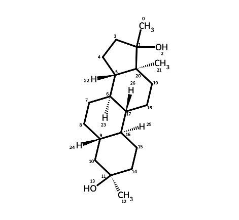 CC1(O)CC[C@H]2[C@@H]3CC[C@H]4C[C@](C)(O)CC[C@@H]4[C@H]3CC[C@@]21C